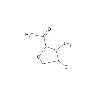 CC(=O)C1OCC(C)C1C